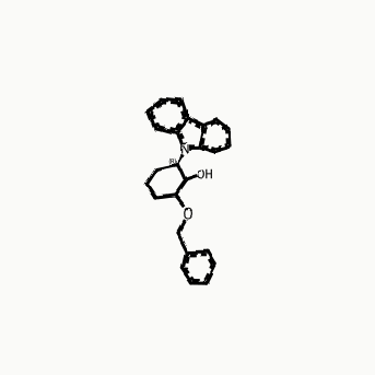 OC1C(OCc2ccccc2)CCC[C@H]1n1c2ccccc2c2ccccc21